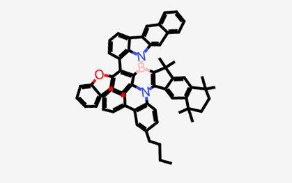 CCCCc1ccc(N2C3=C(B4c5c2cc2c(oc6ccccc62)c5-c2cccc5c6cc7ccccc7cc6n4c25)C(C)(C)c2cc4c(cc23)C(C)(C)CCC4(C)C)c(-c2ccccc2)c1